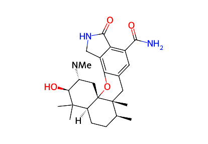 CN[C@@H]1C[C@@]23Oc4c(cc(C(N)=O)c5c4CNC5=O)C[C@]2(C)[C@@H](C)CC[C@H]3C(C)(C)[C@H]1O